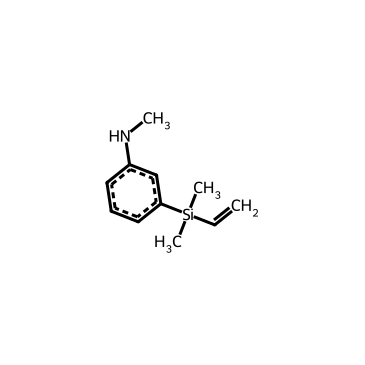 C=C[Si](C)(C)c1cccc(NC)c1